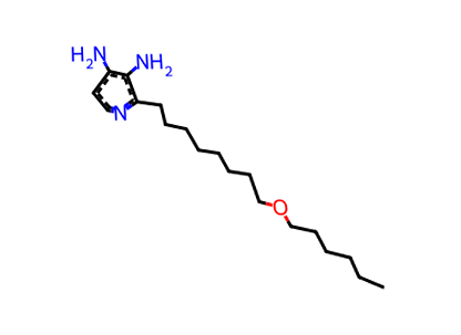 CCCCCCOCCCCCCCCc1nccc(N)c1N